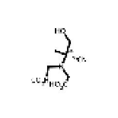 C[C@@](C#N)(CO)N(CC(=O)O)CC(=O)O